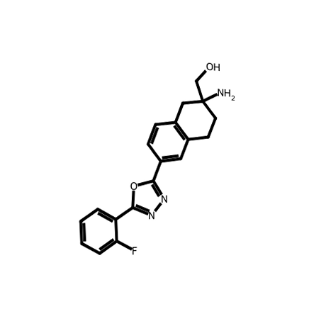 NC1(CO)CCc2cc(-c3nnc(-c4ccccc4F)o3)ccc2C1